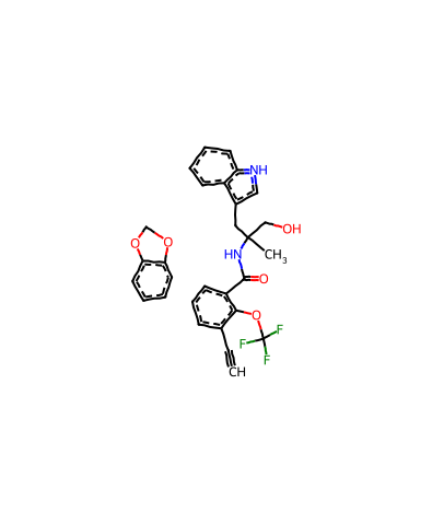 C#Cc1cccc(C(=O)NC(C)(CO)Cc2c[nH]c3ccccc23)c1OC(F)(F)F.c1ccc2c(c1)OCO2